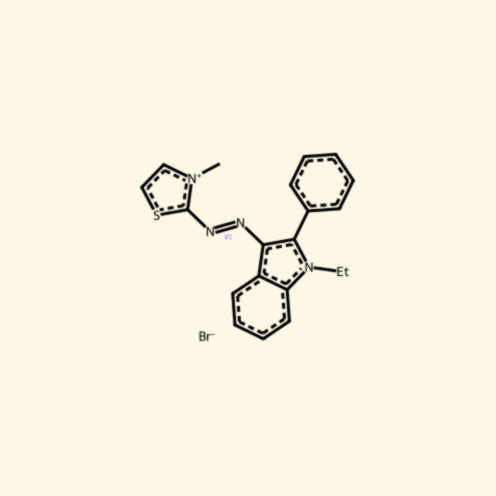 CCn1c(-c2ccccc2)c(/N=N/c2scc[n+]2C)c2ccccc21.[Br-]